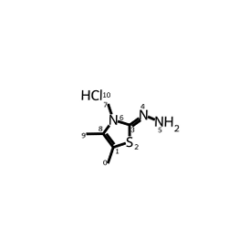 Cc1sc(=NN)n(C)c1C.Cl